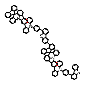 c1ccc(N(c2ccc(-c3cccc4sc5ccccc5c34)cc2)c2ccccc2-c2ccc3c(c2)c2cccc4c2n3-c2ccccc2C42c3ccccc3-c3c(-c4ccc5sc6c(-c7ccc(N(c8ccccc8)c8ccccc8-c8ccc9c%10cccc%11c%10n(c9c8)-c8ccccc8C%118c9ccccc9-c9ccccc98)cc7)cccc6c5c4)cccc32)cc1